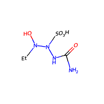 CCN(O)N(NC(N)=O)S(=O)(=O)O